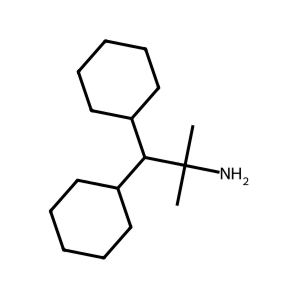 CC(C)(N)C(C1CCCCC1)C1CCCCC1